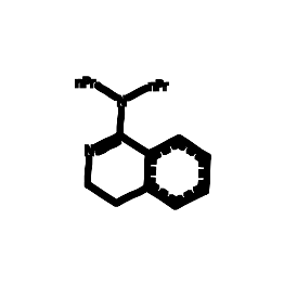 CCCN(CCC)C1=NCCc2ccccc21